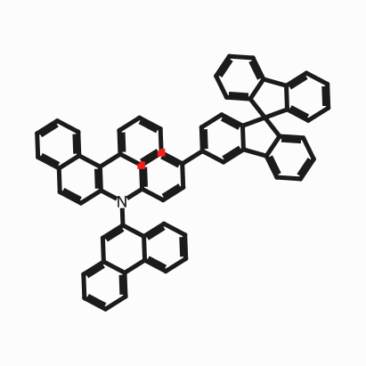 c1ccc(-c2c(N(c3ccc(-c4ccc5c(c4)-c4ccccc4C54c5ccccc5-c5ccccc54)cc3)c3cc4ccccc4c4ccccc34)ccc3ccccc23)cc1